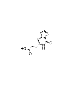 O=C(O)CCc1nc2ccsc2c(=O)[nH]1